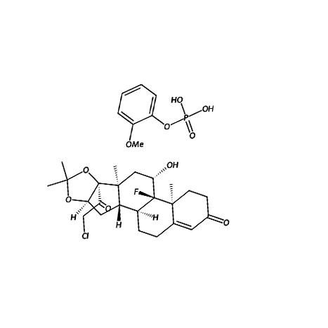 CC1(C)O[C@@H]2C[C@H]3[C@@H]4CCC5=CC(=O)CC[C@]5(C)[C@@]4(F)[C@@H](O)C[C@]3(C)[C@]2(C(=O)CCl)O1.COc1ccccc1OP(=O)(O)O